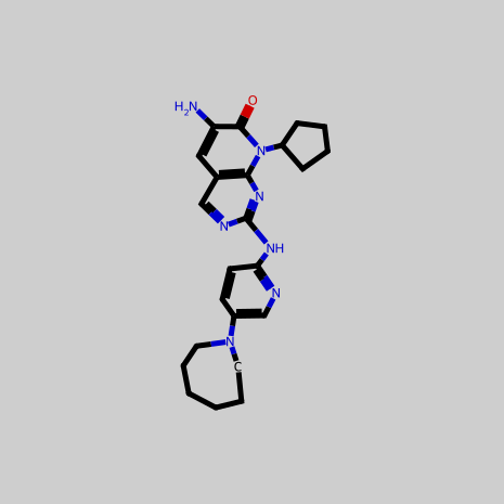 Nc1cc2cnc(Nc3ccc(N4CCCCCC4)cn3)nc2n(C2CCCC2)c1=O